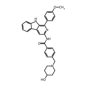 COc1ccc(-c2nc(NC(=O)c3ccc(CN4CCC(O)CC4)cc3)cc3c2[nH]c2ccccc23)cc1